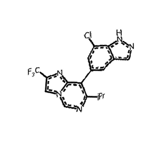 CC(C)c1ncn2cc(C(F)(F)F)nc2c1-c1cc(Cl)c2[nH]ncc2c1